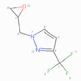 FC(F)(F)c1ccn(CC2CO2)n1